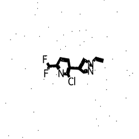 C=Cn1cc(-c2ccc(C(F)F)nc2Cl)cn1